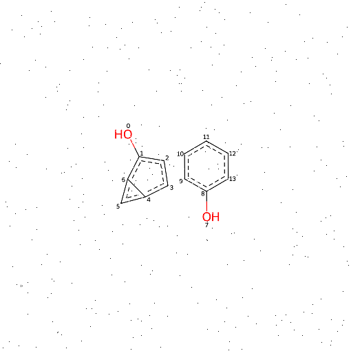 Oc1ccc2cc1-2.Oc1ccccc1